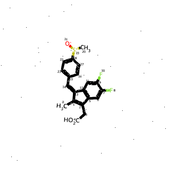 CC1=C(CC(=O)O)c2cc(F)c(F)cc2C1=Cc1ccc([S+](C)[O-])cc1